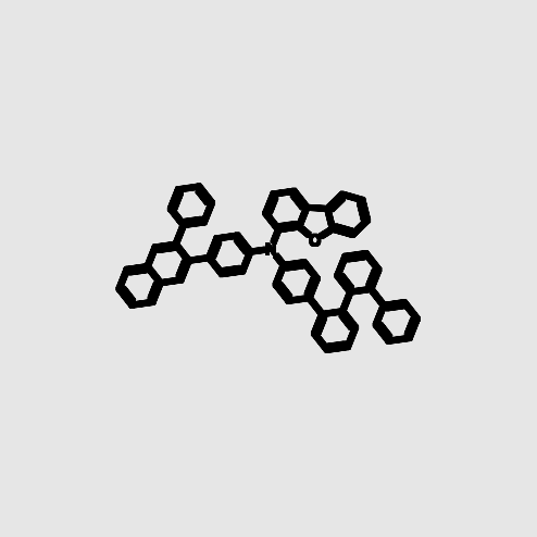 c1ccc(-c2cc3ccccc3cc2-c2ccc(N(c3ccc(-c4ccccc4-c4ccccc4-c4ccccc4)cc3)c3cccc4c3oc3ccccc34)cc2)cc1